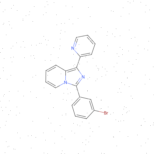 Brc1cccc(-c2nc(-c3ccccn3)c3ccccn23)c1